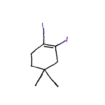 CC1(C)CCC(I)=C(I)C1